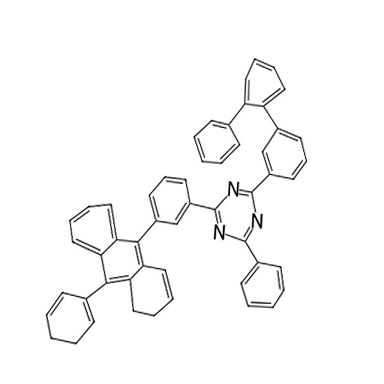 C1=CC(c2c3c(c(-c4cccc(-c5nc(-c6ccccc6)nc(-c6cccc(-c7ccccc7-c7ccccc7)c6)n5)c4)c4ccccc24)C=CCC3)=CCC1